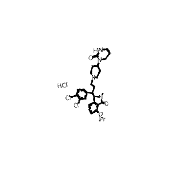 CC(C)Oc1cccc2c1C(=O)N(C)C2C(CCN1CCC(N2CCCNC2=O)CC1)c1ccc(Cl)c(Cl)c1.Cl